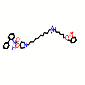 COc1ccccc1COCCCCCC[N+](C)(C)CCCCCCCCCCN1CCC(OC(=O)Nc2ccccc2-c2ccccc2)CC1